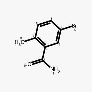 Cc1ccc(Br)cc1C(N)=O